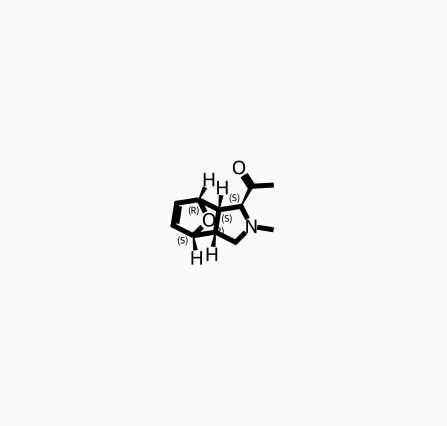 CC(=O)[C@@H]1[C@@H]2[C@H](CN1C)[C@@H]1C=C[C@H]2O1